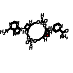 NC(=O)c1cc([C@@H]2O[C@@H]3CO[P@](=O)(S)OC[C@@H]4[C@@H](CO[P@@](=O)(S)O[C@@H]2[C@@H]3O)C[C@H]4n2cnc3c(N)ncnc32)ccn1